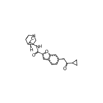 O=C(N[C@H]1CN2CCC1CC2)c1cc2ccc(CC(=O)C3CC3)cc2o1